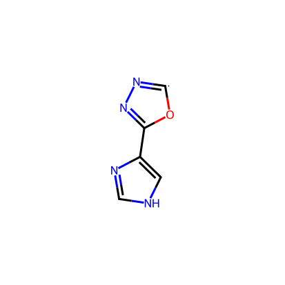 [c]1nnc(-c2c[nH]cn2)o1